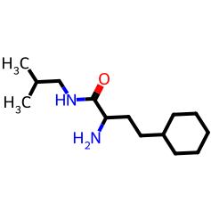 CC(C)CNC(=O)C(N)CCC1CCCCC1